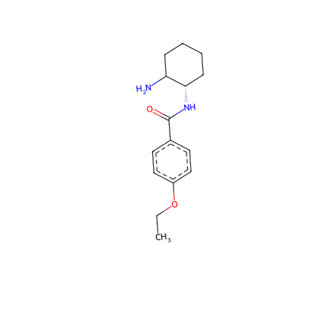 CCOc1ccc(C(=O)N[C@H]2CCCCC2N)cc1